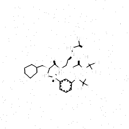 CC(C)(C)OC(=O)C[C@@H](/C=N/NC(N)=O)NC(=O)[C@H](CC1CCCCC1)NS(=O)(=O)c1cccc(OC(F)(F)F)c1